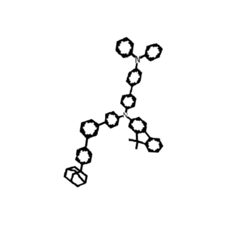 CC1(C)c2ccccc2-c2ccc(N(c3ccc(-c4ccc(N(c5ccccc5)c5ccccc5)cc4)cc3)c3ccc(-c4cccc(-c5ccc(C67CC8CC(CC(C8)C6)C7)cc5)c4)cc3)cc21